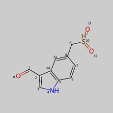 O=Cc1c[nH]c2ccc(C[SH](=O)=O)cc12